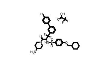 NC1CCN(C(=O)[C@H](NS(=O)(=O)c2ccc(OCC3CCCCC3)cc2)C(F)(F)c2cccc(-c3ccc(Cl)cc3)c2)CC1.O=C(O)C(F)(F)F